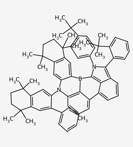 Cc1cc2c3c(c1)N(c1cc4c(cc1-c1ccccc1)C(C)(C)CCC4(C)C)c1cc4c(cc1B3c1c3c-2cccc3c(-c2ccccc2C(C)(C)C)n1-c1ccc(C(C)(C)C)cc1)C(C)(C)CCC4(C)C